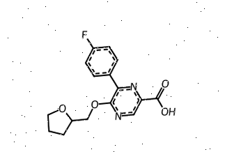 O=C(O)c1cnc(OCC2CCCO2)c(-c2ccc(F)cc2)n1